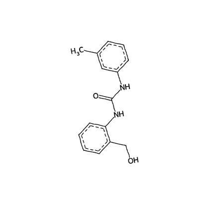 Cc1cccc(NC(=O)Nc2ccccc2CO)c1